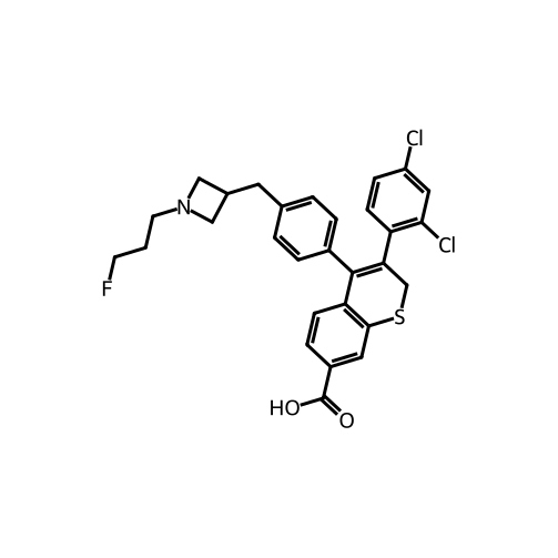 O=C(O)c1ccc2c(c1)SCC(c1ccc(Cl)cc1Cl)=C2c1ccc(CC2CN(CCCF)C2)cc1